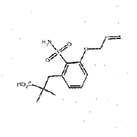 C=CCOc1cccc(CC(C)(C)C(=O)O)c1S(N)(=O)=O